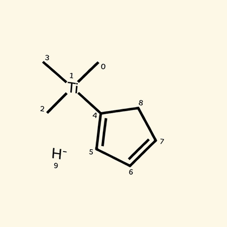 [CH3][Ti]([CH3])([CH3])[C]1=CC=CC1.[H-]